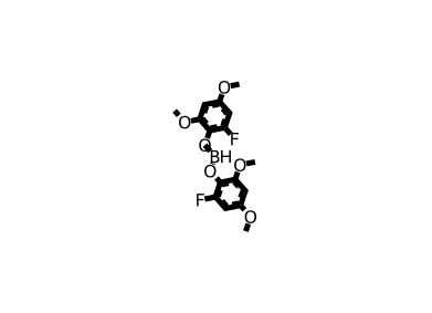 COc1cc(F)c(OBOc2c(F)cc(OC)cc2OC)c(OC)c1